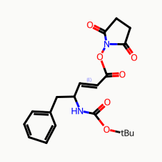 CC(C)(C)OC(=O)NC(/C=C/C(=O)ON1C(=O)CCC1=O)Cc1ccccc1